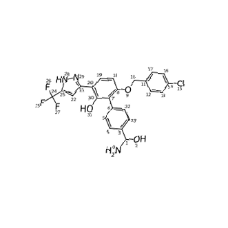 NC(O)c1ccc(-c2c(OCc3ccc(Cl)cc3)ccc(-c3cc(C(F)(F)F)[nH]n3)c2O)cc1